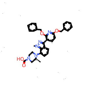 C[C@H]1CN(C(=O)O)CCN1c1cccc2c(-c3ccc(OCc4ccccc4)nc3OCc3ccccc3)nn(C)c12